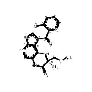 COC[C@]1(C)Nc2c(cnc3[nH]cc(C(=O)c4ncccc4Cl)c23)NC1=O